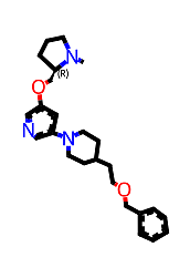 CN1CCC[C@@H]1COc1cncc(N2CCC(CCOCc3ccccc3)CC2)c1